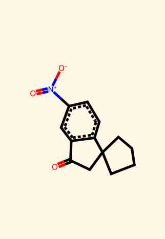 O=C1CC2(CCCC2)c2ccc([N+](=O)[O-])cc21